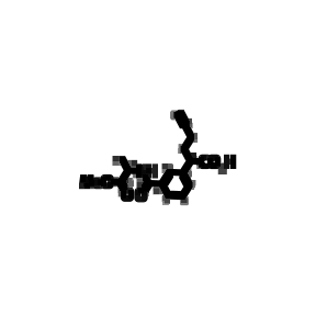 C#CCCC(C(=O)O)c1cccc(C(=O)NC(C)C(=O)OC)c1